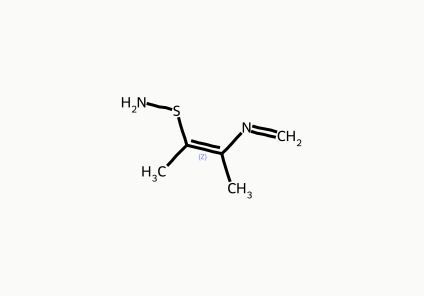 C=N/C(C)=C(/C)SN